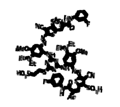 CCN(CC)c1cc(Nc2nc(Nc3cc(N(CC)CC)c(OC)cc3/N=N/c3sc(/C=C(\C(C)=O)C(=O)Nc4cccc(F)c4)c(S(=O)(=O)O)c3C#N)nc(SCCS(=O)(=O)O)n2)c(/N=N/c2sc(/C=C(/C(C)=O)C(=O)Nc3cccc(F)c3)c(S(=O)(=O)O)c2C#N)cc1OC